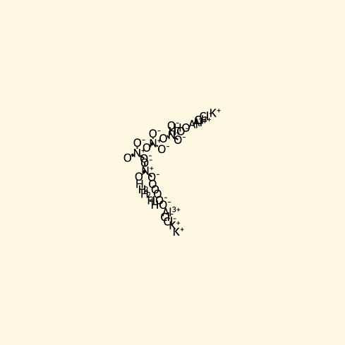 O.O.O.O=[N+]([O-])[O-].O=[N+]([O-])[O-].O=[N+]([O-])[O-].O=[N+]([O-])[O-].[Al+3].[Al+3].[Al+3].[Cl-].[Cl-].[Cl-].[Cl-].[K+].[K+].[K+].[OH-].[OH-].[OH-].[OH-]